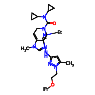 CCN1C=C(Nc2cc(C)n(CCOC(C)C)n2)C23N=CN(C)C2=CCN(C(=O)N(C2CC2)C2CC2)C13